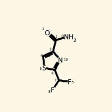 NC(=O)c1csc(C(F)F)n1